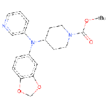 CC(C)(C)OC(=O)N1CCC(N(c2cccnc2)c2ccc3c(c2)OCO3)CC1